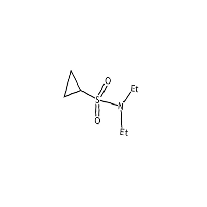 CCN(CC)S(=O)(=O)C1CC1